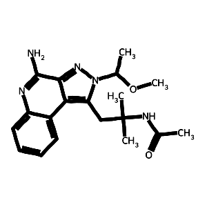 COC(C)n1nc2c(N)nc3ccccc3c2c1CC(C)(C)NC(C)=O